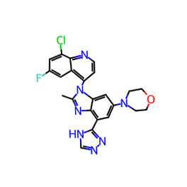 Cc1nc2c(-c3nnc[nH]3)cc(N3CCOCC3)cc2n1-c1ccnc2c(Cl)cc(F)cc12